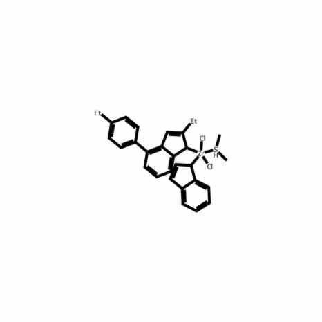 CCC1=Cc2c(-c3ccc(CC)cc3)cccc2[CH]1[Zr]([Cl])([Cl])([CH]1C=Cc2ccccc21)[SiH](C)C